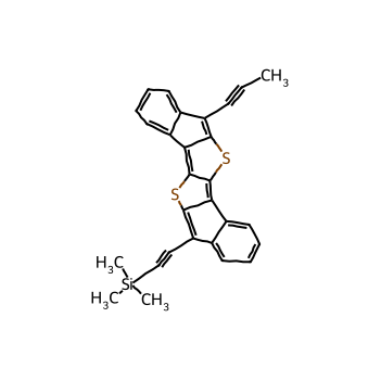 CC#CC1=c2sc3c4c(sc3c2-c2ccccc21)=C(C#C[Si](C)(C)C)c1ccccc1-4